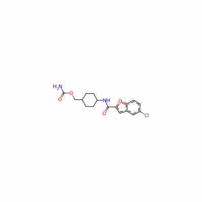 NC(=O)OCC1CCC(NC(=O)c2cc3cc(Cl)ccc3o2)CC1